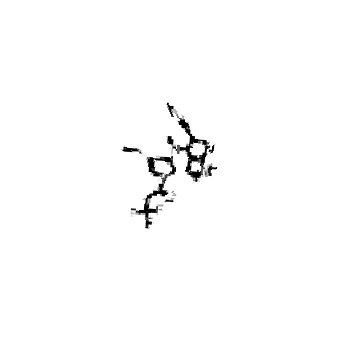 CC[C@H]1CN(C(=O)CC(F)(F)F)C[C@H]1N(C)c1c(C#N)cnc2[nH]ccc12